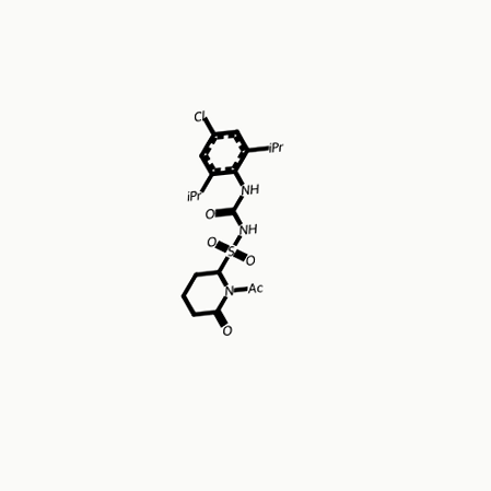 CC(=O)N1C(=O)CCCC1S(=O)(=O)NC(=O)Nc1c(C(C)C)cc(Cl)cc1C(C)C